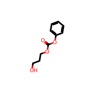 O=C(OCCCO)Oc1ccccc1